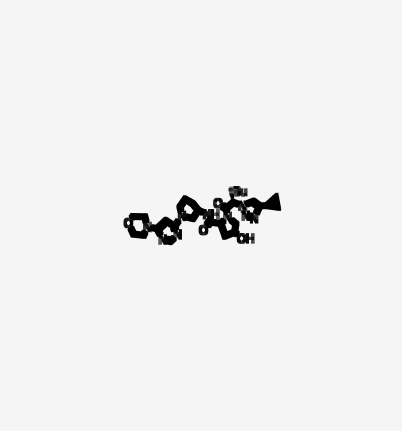 CC(C)(C)[C@@H](C(=O)N1CC(O)CC1C(=O)NC1CCCN(c2cc(N3CCOCC3)ncn2)C1)n1cc(C2CC2)nn1